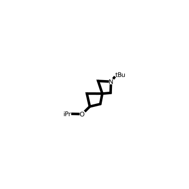 CC(C)OC1CC2(C1)CN(C(C)(C)C)C2